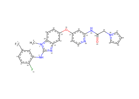 Cn1c(Nc2cc(C(F)(F)F)ccc2F)nc2cc(Oc3ccnc(NC(=O)Cn4cccc4)c3)ccc21